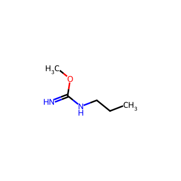 CCCNC(=N)OC